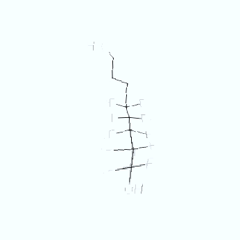 CCCCC(F)(F)C(F)(F)C(F)(F)C(F)(F)C(O)(F)F